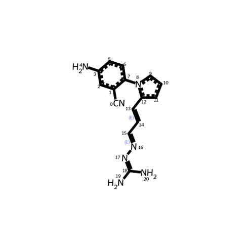 N#Cc1cc(N)ccc1-n1cccc1/C=C/C=N/N=C(N)N